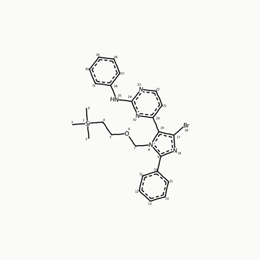 C[Si](C)(C)CCOCn1c(-c2ccccc2)nc(Br)c1-c1ccnc(Nc2ccccc2)n1